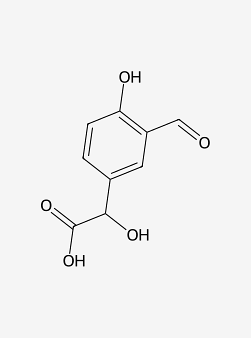 O=Cc1cc(C(O)C(=O)O)ccc1O